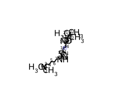 CN(C)CCCCCNc1ncc(/C=C/c2ncc(C(C)(C)C)o2)s1